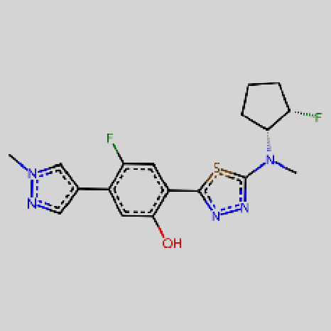 CN(c1nnc(-c2cc(F)c(-c3cnn(C)c3)cc2O)s1)[C@@H]1CCC[C@@H]1F